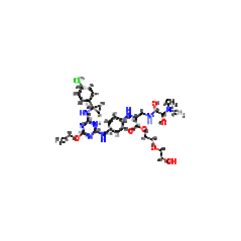 CN(C)C(=O)C(=O)NC[C@H](Nc1ccc(Nc2nc(NC3(c4ccc(Cl)cc4)CC3)nc(OCC(F)(F)F)n2)cc1)C(=O)OCCOCCO